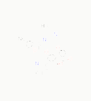 CCC(=O)c1ccc(OCCCN2CCC(C)CC2)cc1.CCC(=O)c1ccc(OCCCN2CCCCC2C)cc1.C[C@@H]1C[C@H](C)CN(CCCOc2ccc(C#N)cc2)C1